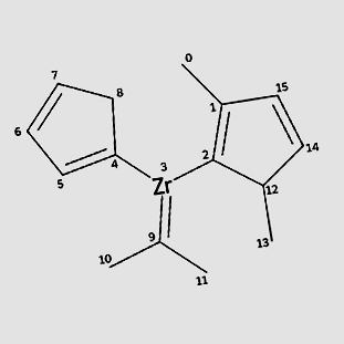 CC1=[C]([Zr]([C]2=CC=CC2)=[C](C)C)C(C)C=C1